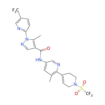 Cc1cc(NC(=O)c2cnn(-c3ccc(C(F)(F)F)cn3)c2C)cnc1C1=CCN(S(=O)(=O)C(F)(F)F)CC1